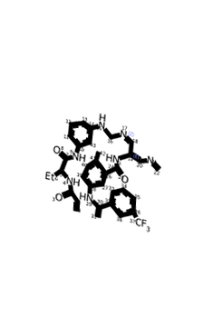 C=CC(=O)NC(CC)C(=O)Nc1cccc(NC/N=C\C(=C/N=C)NC(=O)c2cc(NC(=C)c3cccc(C(F)(F)F)c3)ccc2C)c1